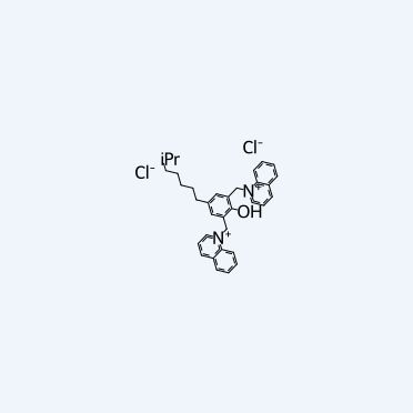 CC(C)CCCCCc1cc(C[n+]2cccc3ccccc32)c(O)c(C[n+]2cccc3ccccc32)c1.[Cl-].[Cl-]